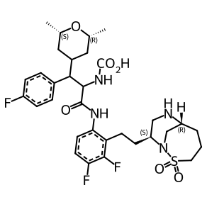 C[C@@H]1CC(C(c2ccc(F)cc2)C(NC(=O)O)C(=O)Nc2ccc(F)c(F)c2CC[C@H]2CN[C@@H]3CCCS(=O)(=O)N2C3)C[C@H](C)O1